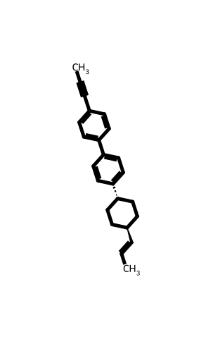 CC#Cc1ccc(-c2ccc([C@H]3CC[C@H](C=CC)CC3)cc2)cc1